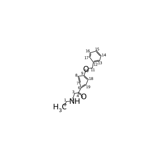 CCNCC(=O)c1ccc(OCc2ccccc2)cc1